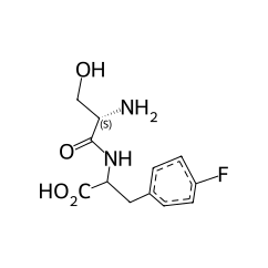 N[C@@H](CO)C(=O)NC(Cc1ccc(F)cc1)C(=O)O